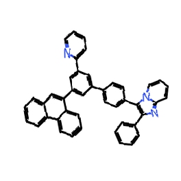 c1ccc(-c2nc3ccccn3c2-c2ccc(-c3cc(-c4ccccn4)cc(-c4cc5ccccc5c5ccccc45)c3)cc2)cc1